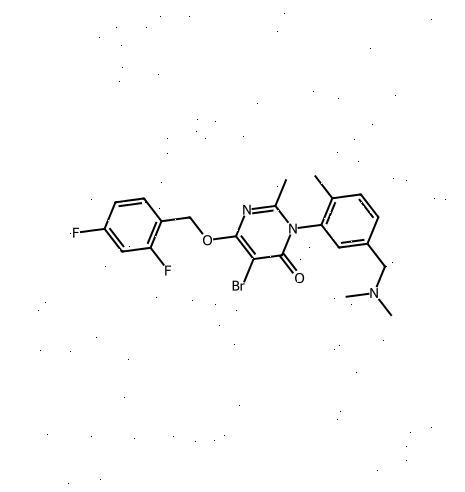 Cc1ccc(CN(C)C)cc1-n1c(C)nc(OCc2ccc(F)cc2F)c(Br)c1=O